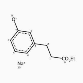 CCOC(=O)CCc1cccc([O-])c1.[Na+]